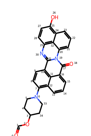 O=COC1CCN(c2ccc3c4c2cccc4c(=O)n2c4cccc5c(O)ccc(nc32)c54)CC1